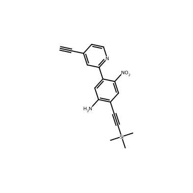 C#Cc1ccnc(-c2cc(N)c(C#C[Si](C)(C)C)cc2[N+](=O)[O-])c1